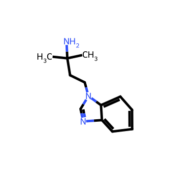 CC(C)(N)CCn1cnc2ccccc21